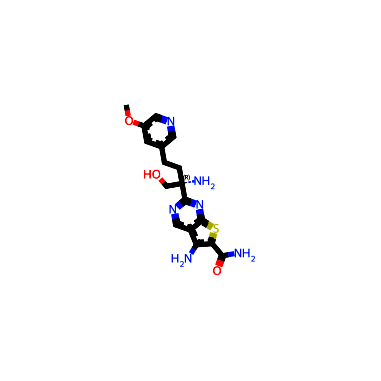 COc1cncc(CC[C@](N)(CO)c2ncc3c(N)c(C(N)=O)sc3n2)c1